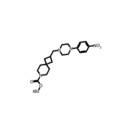 CC(C)(C)OC(=O)N1CCC2(CC1)CC(CN1CCN(c3ccc([N+](=O)[O-])cc3)CC1)C2